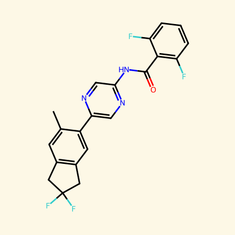 Cc1cc2c(cc1-c1cnc(NC(=O)c3c(F)cccc3F)cn1)CC(F)(F)C2